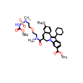 COc1ccc2c(c1)C=C(C(=O)N(C)CCOCCN(C)S(=O)(=O)NC(=O)OC(C)(C)C)Cn1c-2c(C2CCCCC2)c2ccc(C(=O)OC(C)(C)C)cc21